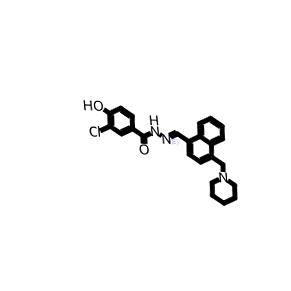 O=C(N/N=C/c1ccc(CN2CCCCC2)c2ccccc12)c1ccc(O)c(Cl)c1